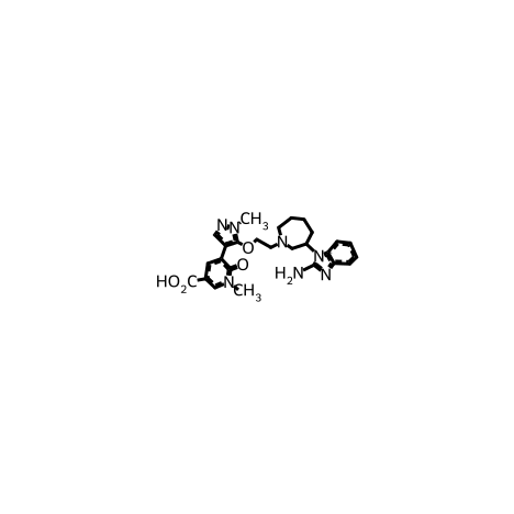 Cn1ncc(-c2cc(C(=O)O)cn(C)c2=O)c1OCCN1CCCCC(n2c(N)nc3ccccc32)C1